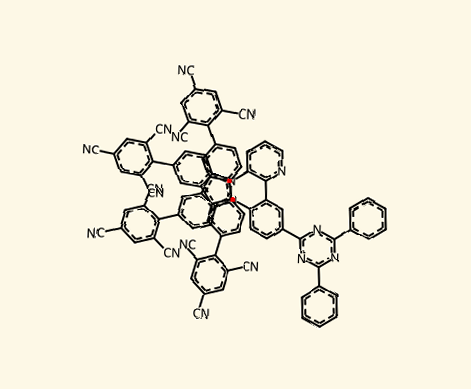 N#Cc1cc(C#N)c(-c2ccc3c(c2)c2cc(-c4c(C#N)cc(C#N)cc4C#N)ccc2n3-c2ccc(-c3nc(-c4ccccc4)nc(-c4ccccc4)n3)cc2-c2ncccc2-n2c3ccc(-c4c(C#N)cc(C#N)cc4C#N)cc3c3cc(-c4c(C#N)cc(C#N)cc4C#N)ccc32)c(C#N)c1